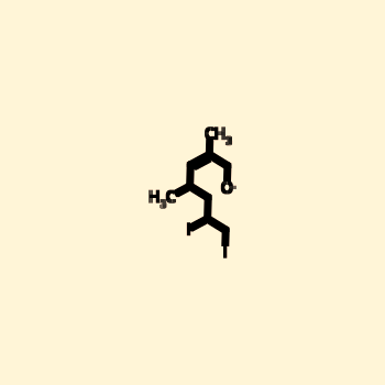 CC(=CC(C)CC(I)CI)C[O]